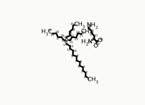 CCCCCCCCCCCCCC[P+](CCCCCC)(CCCCCC)CCCCCC.NCCCC[C@H](N)C(=O)[O-]